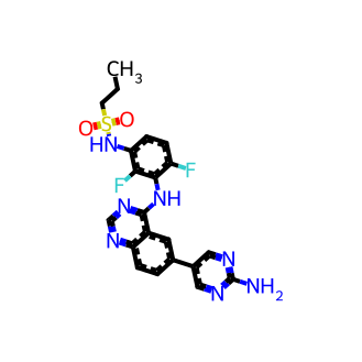 CCCS(=O)(=O)Nc1ccc(F)c(Nc2ncnc3ccc(-c4cnc(N)nc4)cc23)c1F